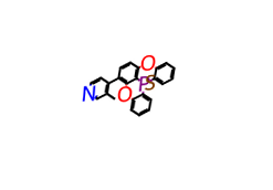 Cc1cnccc1-c1ccc2c3c1Oc1ccccc1P3(=S)c1ccccc1O2